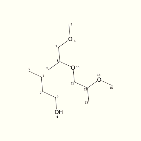 CCCCO.COCC(C)OCC(C)OC